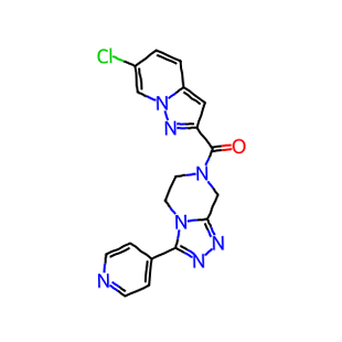 O=C(c1cc2ccc(Cl)cn2n1)N1CCn2c(nnc2-c2ccncc2)C1